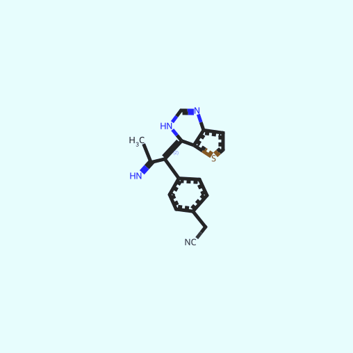 CC(=N)/C(=C1\NC=Nc2ccsc21)c1ccc(CC#N)cc1